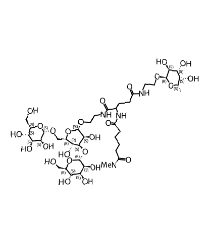 CNC(=O)CCCCC(=O)NC(CCC(=O)NCCO[C@@H]1O[C@@H](C)[C@@H](O)[C@@H](O)[C@@H]1O)C(=O)NCCO[C@H]1O[C@H](CO[C@H]2O[C@H](CO)[C@@H](O)[C@H](O)[C@@H]2O)[C@@H](O)[C@H](O[C@H]2O[C@H](CO)[C@@H](O)[C@H](O)[C@@H]2O)[C@@H]1O